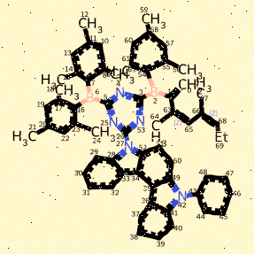 C=C(B(c1nc(B(c2c(C)cc(C)cc2C)c2c(C)cc(C)cc2C)nc(-n2c3ccccc3c3c4c5ccccc5n(-c5ccccc5)c4ccc32)n1)c1c(C)cc(C)cc1C)/C(C)=C\C(C)=C/CC